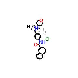 C[N+](C)(Cc1ccc(NC(=O)C2=Cc3ccccc3CCC2)cc1)C1CCOCC1.[Cl-]